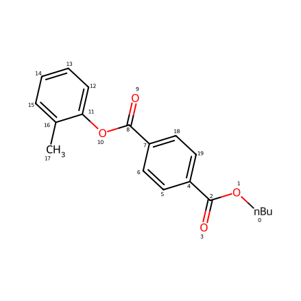 CCCCOC(=O)c1ccc(C(=O)Oc2ccccc2C)cc1